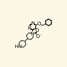 O=C([O-])[N+]1(c2cc(OCc3ccccc3)ncn2)CCC(C2CCNCC2)CC1